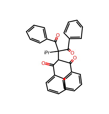 CC(C)C(C(=O)c1ccccc1)(C(=O)c1ccccc1)C(C(=O)c1ccccc1)C(=O)c1ccccc1